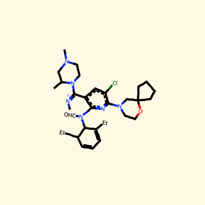 CCC1=CC=CC(CC)C1N(C=O)c1nc(N2CCOC3(CCCC3)C2)c(Cl)cc1/C(=N\C)N1CCN(C)CC1C